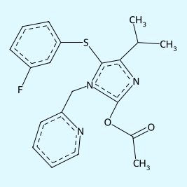 CC(=O)Oc1nc(C(C)C)c(Sc2cccc(F)c2)n1Cc1ccccn1